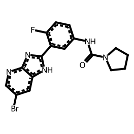 O=C(Nc1ccc(F)c(-c2nc3ncc(Br)cc3[nH]2)c1)N1CCCC1